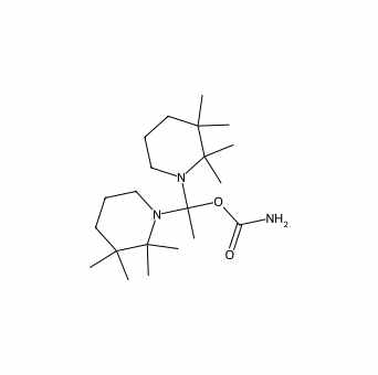 CC(OC(N)=O)(N1CCCC(C)(C)C1(C)C)N1CCCC(C)(C)C1(C)C